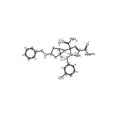 CNC(=O)C1=CC(C(N)=O)(C2[C@H]3CC(OCc4ccccc4)C[C@@H]23)N([C@@H](C)c2cccc(Cl)c2)N1